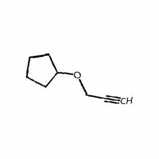 C#CCOC1CCCC1